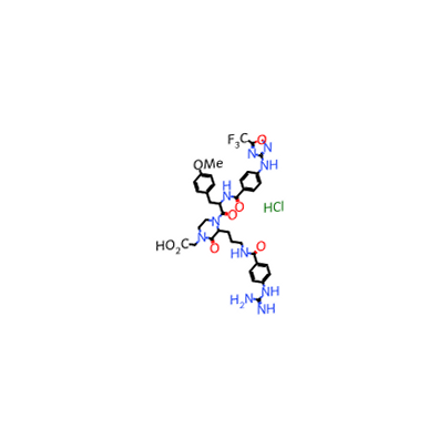 COc1ccc(CC(NC(=O)c2ccc(Nc3noc(C(F)(F)F)n3)cc2)C(=O)N2CCN(CC(=O)O)C(=O)C2CCCNC(=O)c2ccc(NC(=N)N)cc2)cc1.Cl